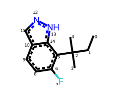 CCC(C)(C)c1c(F)ccc2cn[nH]c12